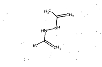 C=C(C)NNC(=C)CC